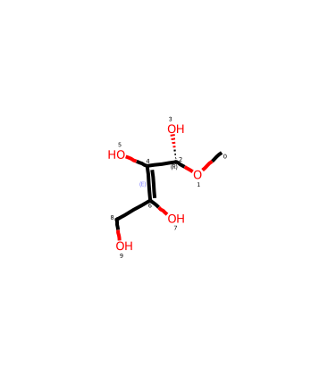 CO[C@@H](O)/C(O)=C(\O)CO